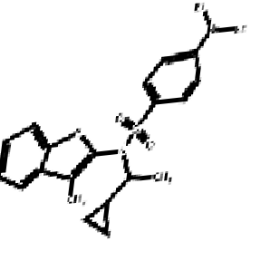 CCN(CC)c1ccc(S(=O)(=O)N(c2sc3ccccc3c2C)C(C)C2CC2)cc1